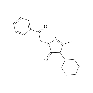 CC1=NN(CC(=O)c2ccccc2)C(=O)C1C1CCCCC1